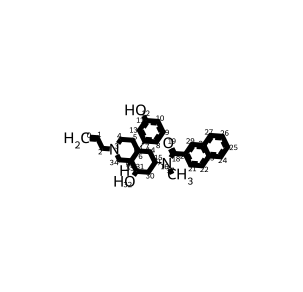 C=CCN1CC[C@@]2(c3cccc(O)c3)C[C@H](N(C)C(=O)c3ccc4ccccc4c3)CC(O)[C@@H]2C1